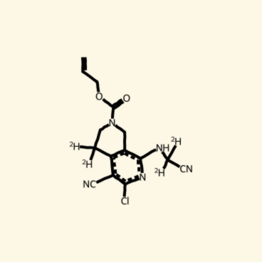 [2H]C([2H])(C#N)Nc1nc(Cl)c(C#N)c2c1CN(C(=O)OCC=C)CC2([2H])[2H]